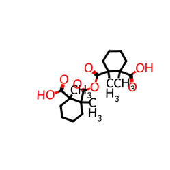 CC1(C(=O)O)CCCCC1(C)C(=O)OC(=O)C1(C)CCCCC1(C)C(=O)O